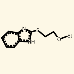 CCOCCSc1nc2ccccc2[nH]1